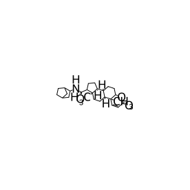 C[C@]12C=CC(=O)OC1CC[C@@H]1[C@H]2CC[C@]2(C)C(C(=O)NC3CC4CCC3C4)CC[C@@H]12